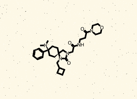 CN(C)[C@]1(c2ccccc2)CC[C@@]2(CC1)CN(CC(=O)NCCC(=O)N1CCOCC1)C(=O)N2CC1CCC1